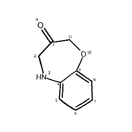 O=C1CNc2ccccc2OC1